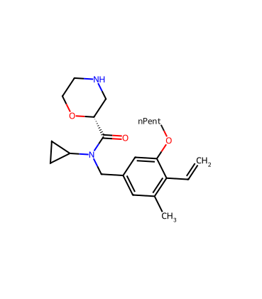 C=Cc1c(C)cc(CN(C(=O)[C@H]2CNCCO2)C2CC2)cc1OCCCCC